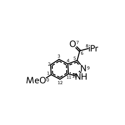 COc1ccc2c(C(=O)C(C)C)n[nH]c2c1